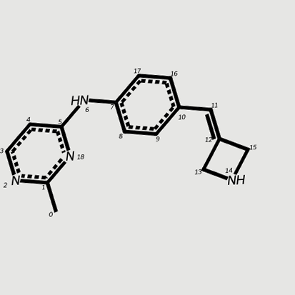 Cc1nccc(Nc2ccc(C=C3CNC3)cc2)n1